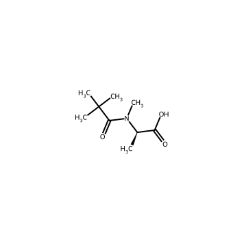 C[C@H](C(=O)O)N(C)C(=O)C(C)(C)C